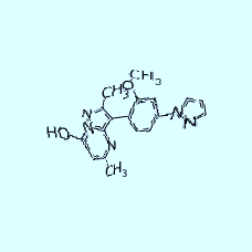 COc1cc(-n2cccn2)ccc1-c1c(C)nn2c(O)cc(C)nc12